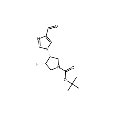 CC(C)(C)OC(=O)N1C[C@@H](n2cnc(C=O)c2)[C@@H](F)C1